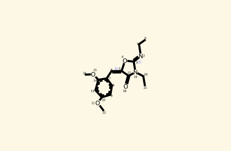 CC/N=C1\O/C(=C/c2ccc(OC)cc2OC)C(=O)N1CC